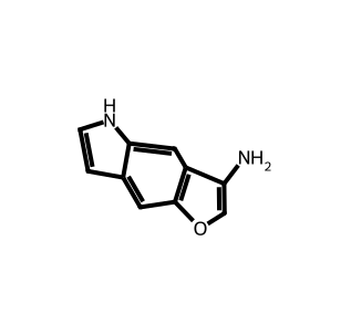 Nc1coc2cc3cc[nH]c3cc12